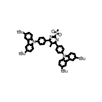 Cc1c(-c2ccc(-n3c4ccc(C(C)(C)C)cc4c4cc(C(C)(C)C)ccc43)cc2)nc(S(C)(=O)=O)nc1-c1ccc(-n2c3ccc(C(C)(C)C)cc3c3cc(C(C)(C)C)ccc32)cc1